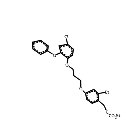 CCOC(=O)CCc1ccc(OCCCOc2ccc(Cl)cc2Oc2ccccc2)cc1CC